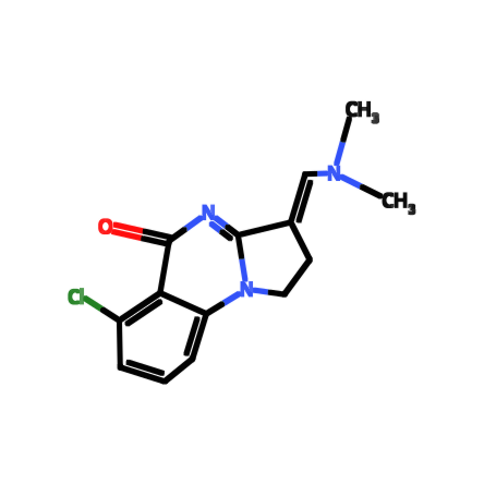 CN(C)/C=C1\CCn2c1nc(=O)c1c(Cl)cccc12